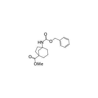 COC(=O)C12CCCC(NC(=O)OCc3ccccc3)(CC1)C2